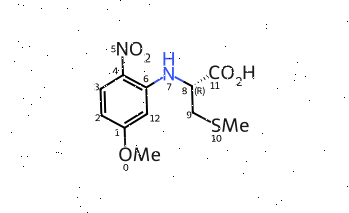 COc1ccc([N+](=O)[O-])c(N[C@@H](CSC)C(=O)O)c1